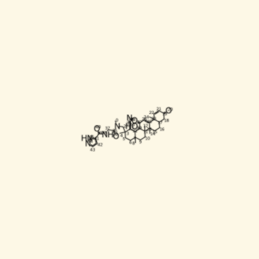 CN(CC1(C)CCC2(C)CCC3(C)C4(C)CCC5CC(=O)C=CC5(C)C4=CC(=O)C3(O)C2C1C#N)C(=O)CNC(=O)c1ccn[nH]1